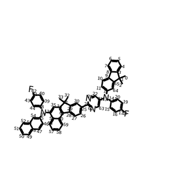 CC1(C)c2ccccc2-c2ccc(N(c3ccc(F)cc3)c3cnc(-c4ccc5c(c4)C(C)(C)c4cc(N(c6ccc(F)cc6)c6ccc7ccccc7c6)c6ccccc6c4-5)nc3)cc21